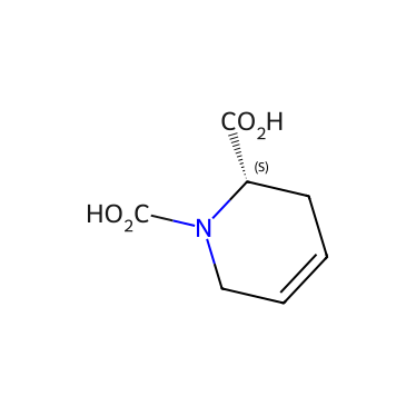 O=C(O)[C@@H]1CC=CCN1C(=O)O